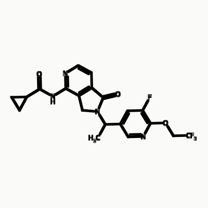 CC(c1cnc(OCC(F)(F)F)c(F)c1)N1Cc2c(ccnc2NC(=O)C2CC2)C1=O